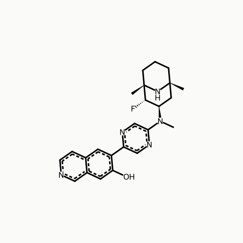 CN(c1cnc(-c2cc3ccncc3cc2O)cn1)[C@@H]1C[C@@]2(C)CCC[C@](C)(N2)[C@H]1F